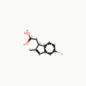 CC1=Cc2cc(F)ccc2C1CC(=O)O